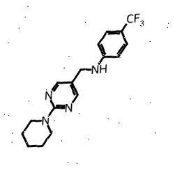 FC(F)(F)c1ccc(NCc2cnc(N3CCCCC3)nc2)cc1